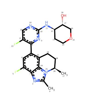 Cc1nc2c(F)cc(-c3nc(N[C@@H]4CCOC[C@H]4O)ncc3F)c3c2n1[C@H](C)CC3